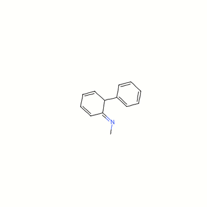 CN=C1C=CC=CC1c1ccccc1